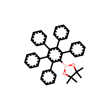 CC1(C)OB(c2c(-c3ccccc3)c(-c3ccccc3)c(-c3ccccc3)c(-c3ccccc3)c2-c2ccccc2)OC1(C)C